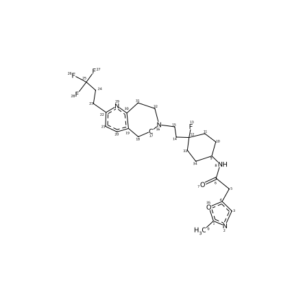 Cc1ncc(CC(=O)NC2CCC(F)(CCN3CCc4ccc(CCC(F)(F)F)nc4CC3)CC2)o1